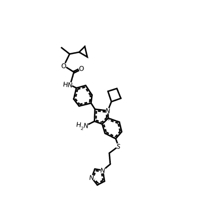 CC(OC(=O)Nc1ccc(-c2c(N)c3cc(SCCn4ccnc4)ccc3n2C2CCC2)cc1)C1CC1